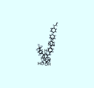 CCC[C@H]1CC[C@H](C2CCN(c3cnc(-c4ccc(C[C@H](NC(=O)c5ccc(C(C)(C)C)s5)C(=O)N[C@@H](CO)C(=O)O)cc4)nc3)CC2)CC1